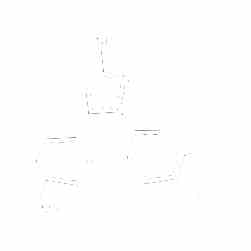 CSc1ccc(-c2cc(N)nn2-c2ccc(C)c(Br)c2)cc1